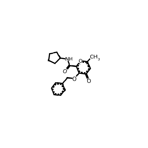 Cc1cc(=O)c(OCc2ccccc2)c(C(=O)NC2CCCC2)o1